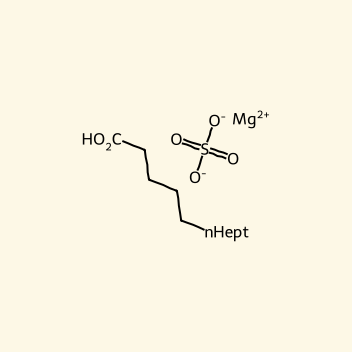 CCCCCCCCCCCC(=O)O.O=S(=O)([O-])[O-].[Mg+2]